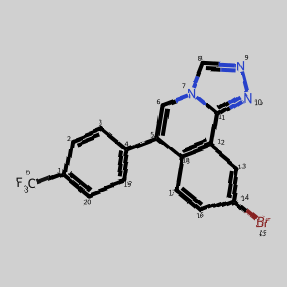 FC(F)(F)c1ccc(-c2cn3cnnc3c3cc(Br)ccc23)cc1